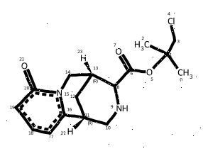 CC(C)(CCl)OC(=O)C1NC[C@H]2C[C@@H]1Cn1c2cccc1=O